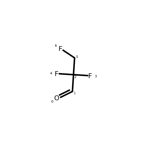 O=CC(F)(F)CF